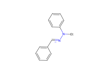 CCN(/N=C/c1ccccc1)c1ccccc1